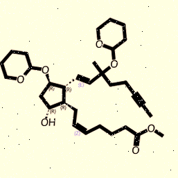 CC#CCCC(C)(/C=C/[C@@H]1[C@@H](C/C=C\CCCC(=O)OC)[C@H](O)C[C@H]1OC1CCCCO1)OC1CCCCO1